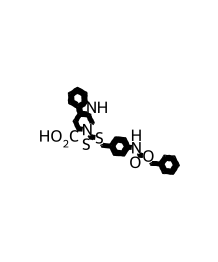 O=C(Nc1ccc(CSC(=S)N2Cc3[nH]c4ccccc4c3C[C@@H]2C(=O)O)cc1)OCc1ccccc1